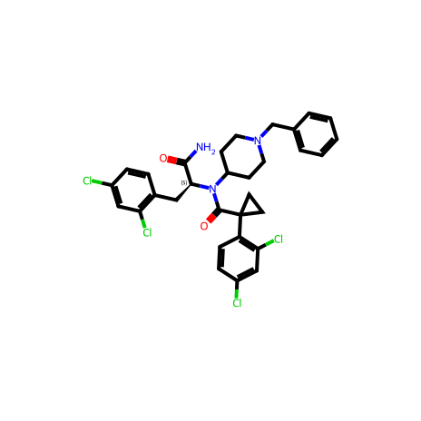 NC(=O)[C@H](Cc1ccc(Cl)cc1Cl)N(C(=O)C1(c2ccc(Cl)cc2Cl)CC1)C1CCN(Cc2ccccc2)CC1